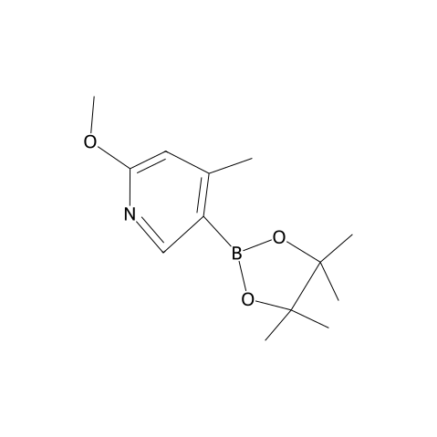 COc1cc(C)c(B2OC(C)(C)C(C)(C)O2)cn1